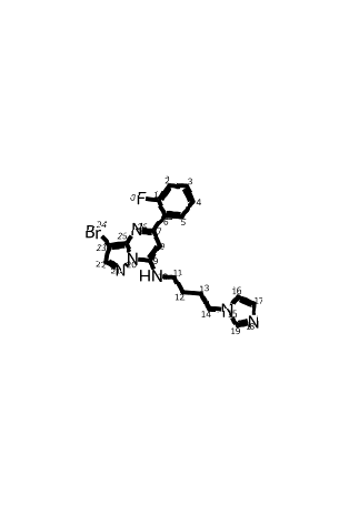 Fc1ccccc1-c1cc(NCCCCn2ccnc2)n2ncc(Br)c2n1